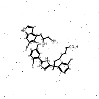 CC(CCCCCC(=O)O)(c1cccc(I)c1)c1cnc(-c2cc(Oc3c(F)cc4[nH]ccc4c3CC(O)CN)ccc2F)[nH]1